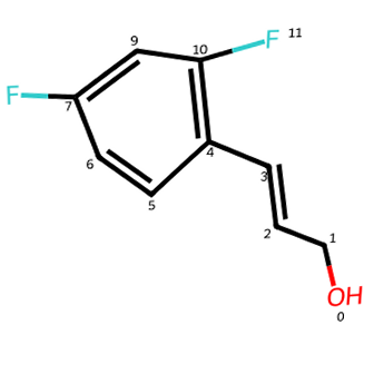 OCC=Cc1ccc(F)cc1F